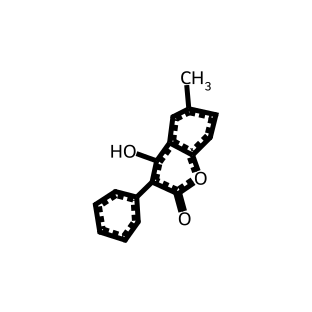 Cc1ccc2oc(=O)c(-c3ccccc3)c(O)c2c1